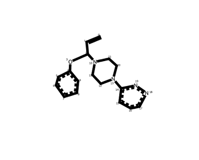 C=CC(Oc1ccccc1)N1CCN(c2cccnn2)CC1